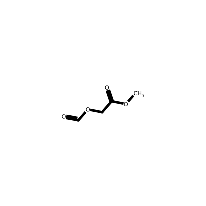 COC(=O)COC=O